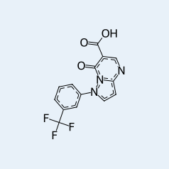 O=C(O)c1cnc2ccn(-c3cccc(C(F)(F)F)c3)n2c1=O